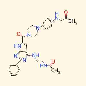 CC(=O)CNc1ccc(N2CCN(C(=O)c3cc4c(NCCNC(C)=O)nc(-c5ccccc5)nc4[nH]3)CC2)cc1